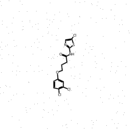 O=C(CCCOc1ccc(Cl)c(Cl)c1)Nc1ncc(Cl)s1